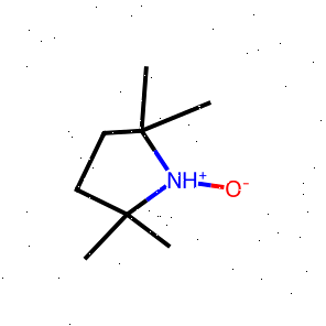 CC1(C)CCC(C)(C)[NH+]1[O-]